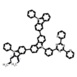 C=C/C=c1\c(=C/C)c2cc(-c3ccc4c(c3)c3cc(-c5ccc6c(c5)c5ccccc5n6-c5ccccc5)ccc3n4-c3cccc(-c4nc(-c5ccccn5)nc(-c5ccccn5)n4)c3)ccc2n1-c1ccccc1